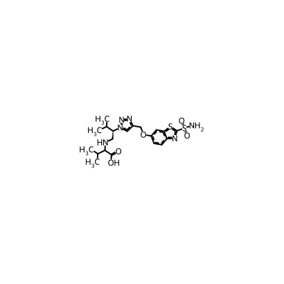 CC(C)C(NC[C@@H](C(C)C)n1cc(COc2ccc3nc(S(N)(=O)=O)sc3c2)nn1)C(=O)O